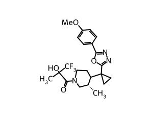 COc1ccc(-c2nnc(C3(C4CCN(C(=O)C(C)(O)C(F)(F)F)C[C@H]4C)CC3)o2)cc1